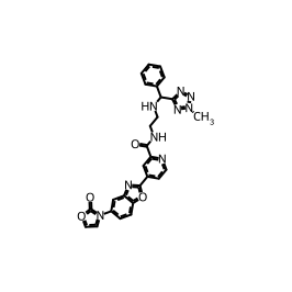 Cn1nnc(C(NCCNC(=O)c2cc(-c3nc4cc(-n5ccoc5=O)ccc4o3)ccn2)c2ccccc2)n1